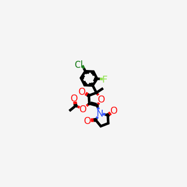 CC(=O)OC1=C(N2C(=O)CCC2=O)OC(C)(c2ccc(Cl)cc2F)C1=O